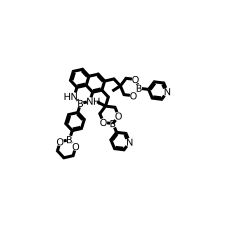 CC1(Cc2cc3cccc4c3c(c2CC2(C)COB(c3cccnc3)OC2)NB(c2ccc(B3OCCCO3)cc2)N4)COB(c2ccncc2)OC1